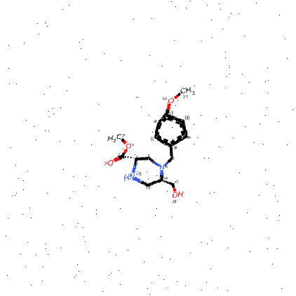 COC(=O)[C@@H]1CN(Cc2ccc(OC)cc2)[C@@H](CO)CN1